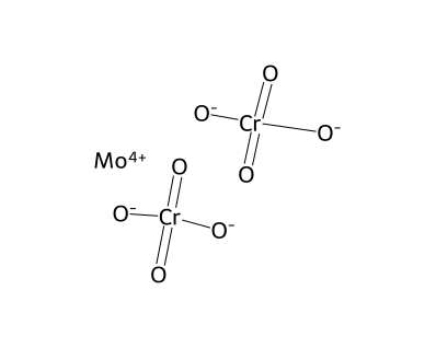 [Mo+4].[O]=[Cr](=[O])([O-])[O-].[O]=[Cr](=[O])([O-])[O-]